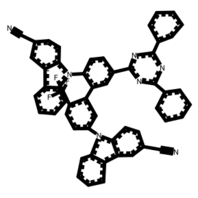 N#Cc1ccc2c(c1)c1ccccc1n2-c1ccc(C(F)(F)F)c(-c2cc(-c3nc(-c4ccccc4)nc(-c4ccccc4)n3)ccc2-n2c3ccccc3c3cc(C#N)ccc32)c1